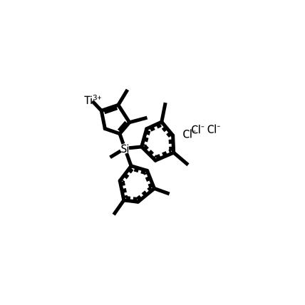 CC1=[C]([Ti+3])CC([Si](C)(c2cc(C)cc(C)c2)c2cc(C)cc(C)c2)=C1C.[Cl-].[Cl-].[Cl-]